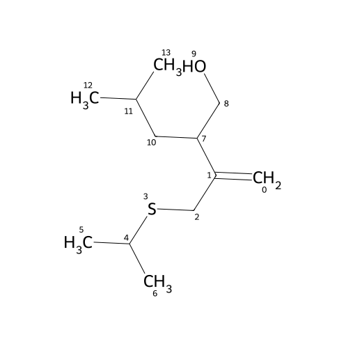 C=C(CSC(C)C)C(CO)CC(C)C